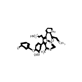 C=CC(=O)C1NCCC=C1c1c(CCC(=O)O)c(-c2ccc(Oc3cccc(Cl)c3)c(OC)c2)c2c(N)ncnn12